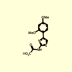 COc1ccc(-c2csc(NC(=O)C(=O)O)n2)c(OC)c1